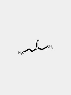 [CH2]CC[S+]([O-])CC